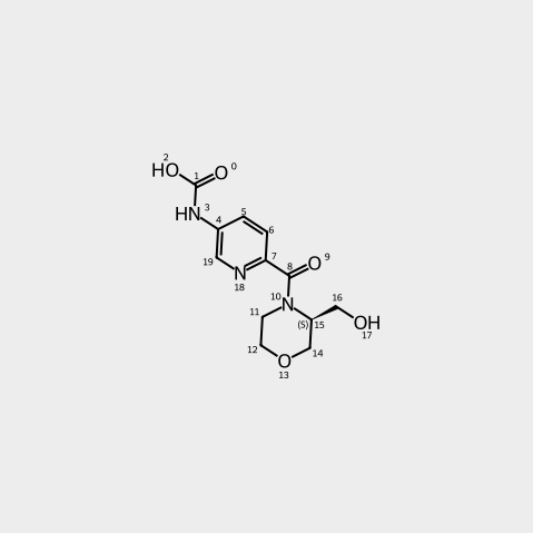 O=C(O)Nc1ccc(C(=O)N2CCOC[C@@H]2CO)nc1